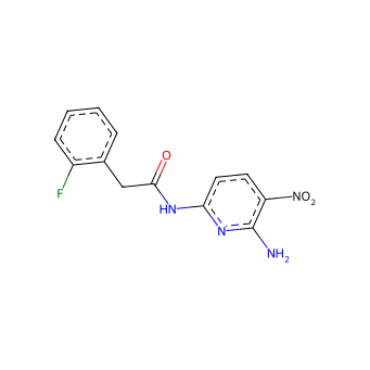 Nc1nc(NC(=O)Cc2ccccc2F)ccc1[N+](=O)[O-]